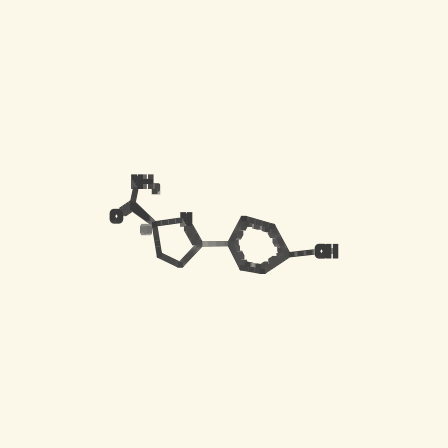 NC(=O)[C@@H]1CCC(c2ccc(O)cc2)=N1